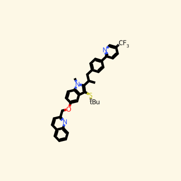 CC(Cc1ccc(-c2ccc(C(F)(F)F)cn2)cc1)c1c(SC(C)(C)C)c2cc(OCc3ccc4ccccc4n3)ccc2n1C